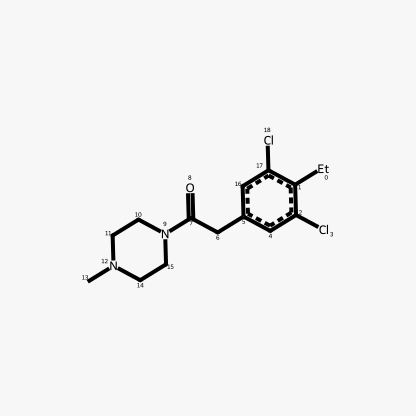 CCc1c(Cl)cc(CC(=O)N2CCN(C)CC2)cc1Cl